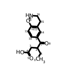 CCC(CC(=O)O)C(=O)c1ccc2c(c1)CCNO2